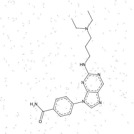 CCN(CC)CCCNc1ncc2ncn(-c3ccc(C(N)=O)cc3)c2n1